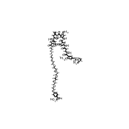 Cn1cc(NC(=O)c2nccn2C)cc1C(=O)NCCC(=O)Nc1cn(C)c(C(=O)Nc2cc(C(=O)NC3(CC(=O)Nc4cn(C)c(C(=O)NCCOCCOCCOCCOCCOCCOCCOCCOCCOc5ccc(NC(=O)O)cc5)n4)CC3)n(C)c2)n1